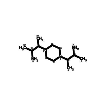 CC(N)C(C)N1CCN(C(C)C(C)N)CC1